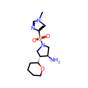 Cn1cnc(S(=O)(=O)N2C[C@@H](N)[C@H](C3CCCCO3)C2)c1